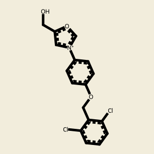 OCc1c[n+](-c2ccc(OCc3c(Cl)cccc3Cl)cc2)co1